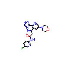 O=C(Cc1nn2cnnc2c2ncc(N3CCOCC3)cc12)Nc1ccc(F)cn1